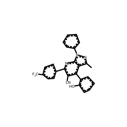 Cc1nn(-c2ccccc2)c2nc(-c3ccc(C(F)(F)F)cc3)c(C#N)c(-c3ccccc3O)c12